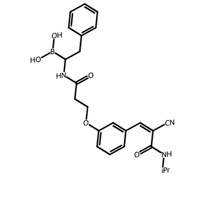 CC(C)NC(=O)C(C#N)=Cc1cccc(OCCC(=O)NC(Cc2ccccc2)B(O)O)c1